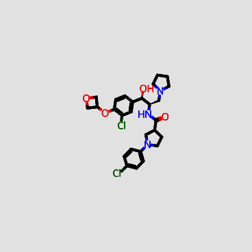 O=C(N[C@H](CN1CCCC1)[C@H](O)c1ccc(OC2COC2)c(Cl)c1)C1CCN(c2ccc(Cl)cc2)C1